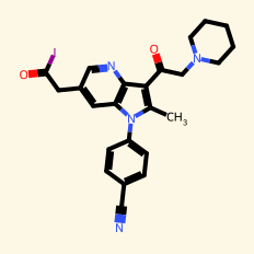 Cc1c(C(=O)CN2CCCCC2)c2ncc(CC(=O)I)cc2n1-c1ccc(C#N)cc1